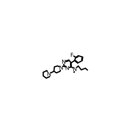 CCCCN(C)c1nc(N2CCC(N3CCCCC3)CC2)ncc1-c1ccccc1F